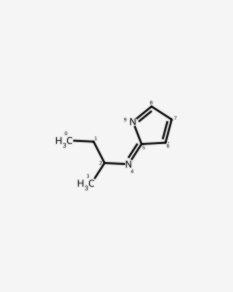 CCC(C)N=C1[C]=CC=N1